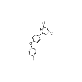 Fc1ccc(Oc2ccc(-c3cc(Cl)cc(Cl)n3)cc2)cc1